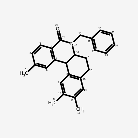 Cc1ccc2c(c1)C1c3cc(C)c(C)cc3CCC1N(Cc1ccccc1)C2=O